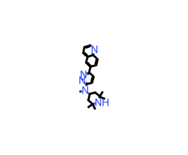 CN(c1ccc(-c2ccc3ncccc3c2)nn1)C1CC(C)(C)NC(C)(C)C1